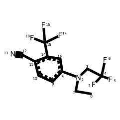 CCN(CC(F)(F)F)c1ccc(C#N)c(C(F)(F)F)c1